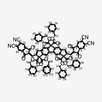 N#Cc1cc2c(cc1C#N)C(=O)C(=CC1=Cc3cc4c(cc3C1(C(=O)OCc1ccccc1)C(=O)OCc1ccccc1)-c1cc3c(cc1C4(C(=O)OCc1ccccc1)C(=O)OCc1ccccc1)C=C(C=C1C(=O)c4cc(C#N)c(C#N)cc4C1=O)C3(C(=O)OCc1ccccc1)C(=O)OCc1ccccc1)C2=O